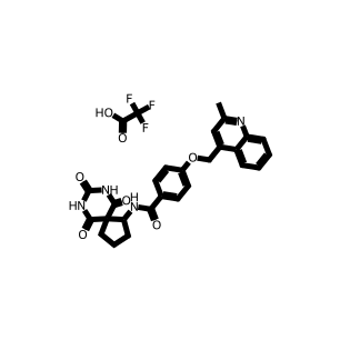 Cc1cc(COc2ccc(C(=O)NC3CCCC34C(=O)NC(=O)NC4=O)cc2)c2ccccc2n1.O=C(O)C(F)(F)F